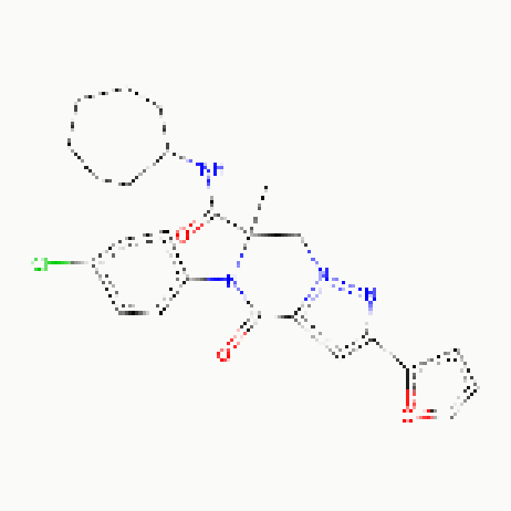 CC1(C(=O)NC2CCCCCC2)Cn2nc(-c3ccco3)cc2C(=O)N1c1ccc(Cl)cc1